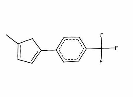 CC1=CC=C(c2ccc(C(F)(F)F)cc2)C1